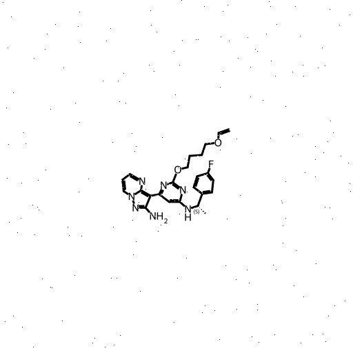 C=COCCCCOc1nc(N[C@@H](C)c2ccc(F)cc2)cc(-c2c(N)nn3cccnc23)n1